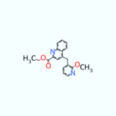 CCOC(=O)c1cc(Cc2cccnc2OC)c2ccccc2n1